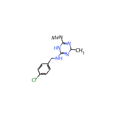 CNC1=NC(C)N=C(NCc2ccc(Cl)cc2)N1